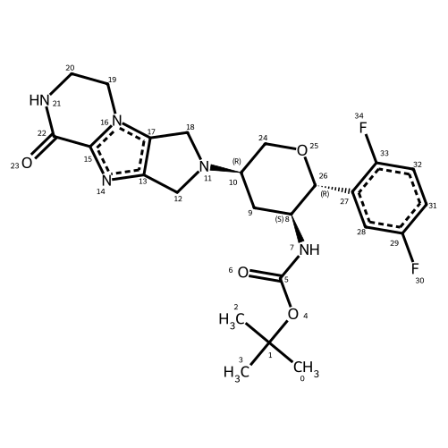 CC(C)(C)OC(=O)N[C@H]1C[C@@H](N2Cc3nc4n(c3C2)CCNC4=O)CO[C@@H]1c1cc(F)ccc1F